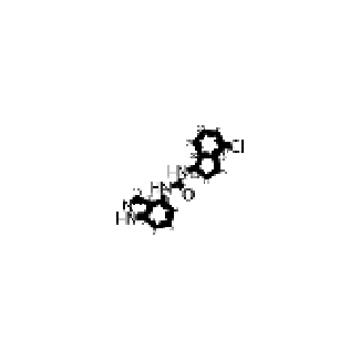 O=C(Nc1cccc2[nH]ncc12)NC1CCc2c(Cl)cccc21